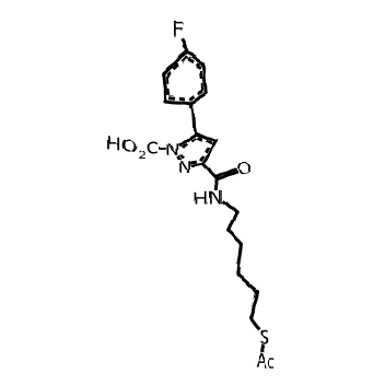 CC(=O)SCCCCCCNC(=O)c1cc(-c2ccc(F)cc2)n(C(=O)O)n1